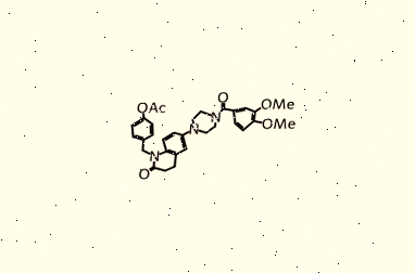 COc1ccc(C(=O)N2CCN(c3ccc4c(c3)CCC(=O)N4Cc3ccc(OC(C)=O)cc3)CC2)cc1OC